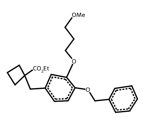 CCOC(=O)C1(Cc2ccc(OCc3ccccc3)c(OCCCOC)c2)CCC1